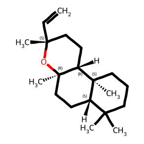 C=C[C@]1(C)CC[C@@H]2[C@@]3(C)CCCC(C)(C)[C@@H]3CC[C@@]2(C)O1